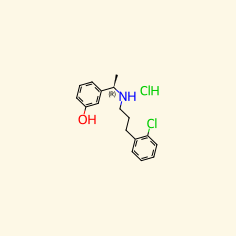 C[C@@H](NCCCc1ccccc1Cl)c1cccc(O)c1.Cl